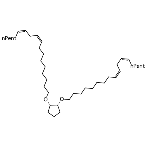 CCCCC/C=C\C/C=C\CCCCCCCCO[C@H]1CCC[C@H]1OCCCCCCCC/C=C\C/C=C\CCCCC